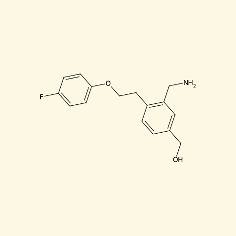 NCc1cc(CO)ccc1CCOc1ccc(F)cc1